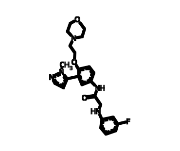 Cn1nccc1-c1cc(NC(=O)CNc2cccc(F)c2)ccc1OCCN1CCOCC1